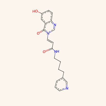 O=C(/C=C/n1cnc2ccc(O)cc2c1=O)NCCCCc1cccnc1